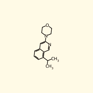 CC(C)c1cccc2cc(N3CCOCC3)ncc12